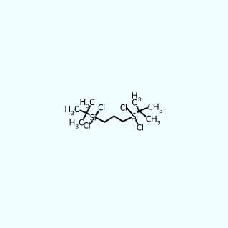 CC(C)(C)[Si](Cl)(Cl)CCC[Si](Cl)(Cl)C(C)(C)C